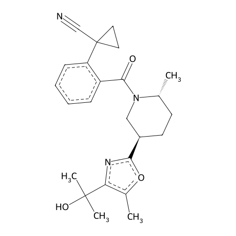 Cc1oc([C@@H]2CC[C@@H](C)N(C(=O)c3ccccc3C3(C#N)CC3)C2)nc1C(C)(C)O